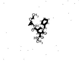 CCO[C@H]1C[C@@H]1NC(=O)c1cc(C(=O)NC)c(=O)n(Cc2ccccc2)c1